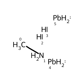 CN.I.I.[PbH2].[PbH2]